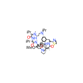 CC[C@H](C)[C@@H]([C@@H](CC(=O)N1CCC[C@H]1[C@H](OC)[C@@H](C)C(=O)N[C@@H](Cc1ccccc1)c1nccs1)OC)N(C)C(=O)[C@@H](NC(=O)[C@H](C(C)C)N(C)CCCN(C)C(C)C)C(C)C